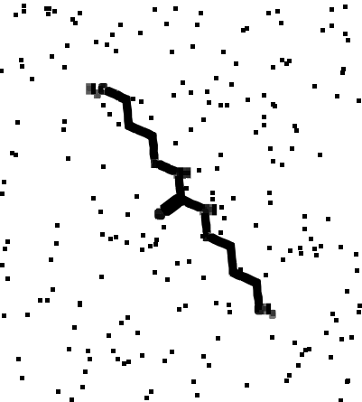 CCCCSNC(=O)NSCCCC